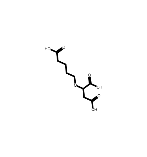 O=C(O)CCCCOC(CC(=O)O)C(=O)O